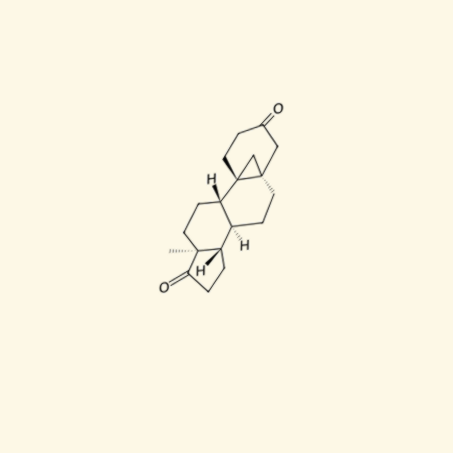 C[C@]12CC[C@H]3[C@@H](CC[C@]45CC(=O)CC[C@]34C5)[C@@H]1CCC2=O